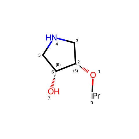 CC(C)O[C@H]1CNC[C@H]1O